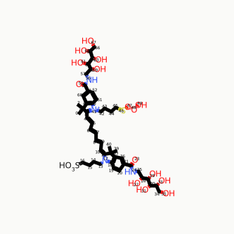 CC1(C)C(/C=C/C=C/C=C/C=C2/N(CCCCS(=O)(=O)O)c3ccc(C(=O)NCC(O)C(O)C(O)C(O)CO)cc3C2(C)C)=[N+](CCCCSOOO)c2ccc(C(=O)NCC(O)C(O)C(O)C(O)CO)cc21